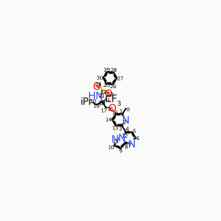 Cc1nc(-c2ccnc3ccnn23)ccc1OC[C@](CC(C)C)(NS(=O)(=O)c1ccccc1)C(F)(F)F